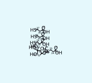 CC(=O)O[C@H](C(C)=O)C(CO)(CO)CO.O=C(O)CCS.O=C(O)CCS.O=C(O)CCS.O=C(O)CCS